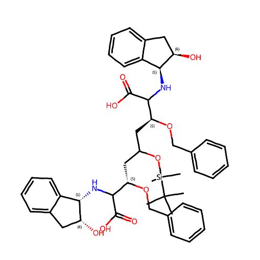 CC(C)(C)[Si](C)(C)OC(C[C@H](OCc1ccccc1)C(N[C@H]1c2ccccc2C[C@H]1O)C(=O)O)C[C@H](OCc1ccccc1)C(N[C@H]1c2ccccc2C[C@H]1O)C(=O)O